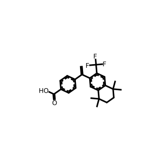 C=C(c1ccc(C(=O)O)cc1)c1cc2c(cc1C(F)(F)F)C(C)(C)CCC2(C)C